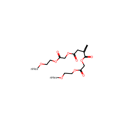 C=C(CC(=O)OCC(=O)OCCOCCCCCC)C(=O)OCC(=O)OCCOCCCCCC